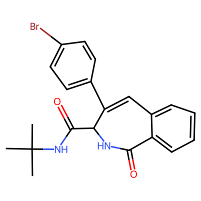 CC(C)(C)NC(=O)C1NC(=O)c2ccccc2C=C1c1ccc(Br)cc1